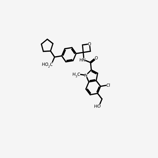 Cn1c(C(=O)NC2(c3ccc(C(C(=O)O)C4CCCC4)cc3)COC2)cc2c(Cl)c(CO)ccc21